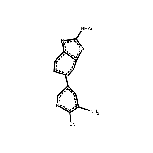 CC(=O)Nc1nc2ccc(-c3cnc(C#N)c(N)c3)cc2s1